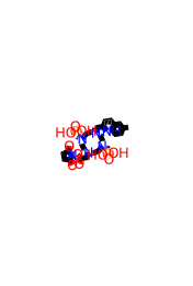 Cc1cccc(/C=C\C(=N)CN2CCN(CP(=O)(O)O)CCN(CC(=O)ON3C(=O)CCC3=O)CCN(CP(=O)(O)O)CC2)c1